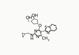 Cc1nc(NCC2CC2)nc(O[C@@H]2C[C@H](CO)[C@@H](O)C2)c1-c1nc2ccccc2s1